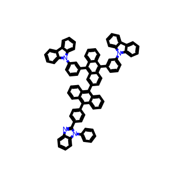 c1ccc(-n2c(-c3ccc(-c4c5ccccc5c(-c5ccc6c(-c7cccc(-n8c9ccccc9c9ccccc98)c7)c7ccccc7c(-c7cccc(-n8c9ccccc9c9ccccc98)c7)c6c5)c5ccccc45)cc3)nc3ccccc32)cc1